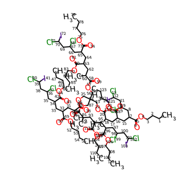 CCCCOC(=O)C(CC(Cl)CC(Cl)I)CC(CC(C)C(=O)OCC(COC(=O)C(C)CC(CC(CC(Cl)CC(Cl)I)C(=O)OCCCC)C(=O)OCCCC)(COC(=O)C(C)CC(CC(CC(Cl)CC(Cl)I)C(=O)OCCCC)C(=O)OCCCC)COC(=O)C(C)CC(CC(CC(Cl)CC(Cl)I)C(=O)OCCCC)C(=O)OCCCC)C(=O)OCCCC